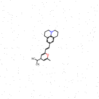 CC1=CC(C(C#N)C#N)C=C(/C=C/c2cc3c4c(c2)CCCN4CCC3)O1